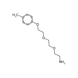 Cc1ccc(OCCOCCOCCN)cc1